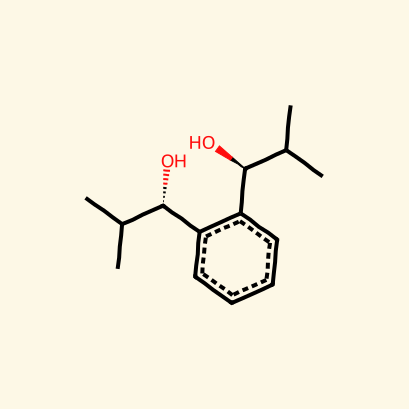 CC(C)[C@H](O)c1ccccc1[C@@H](O)C(C)C